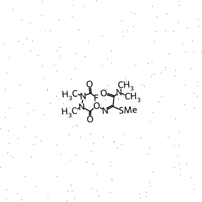 CSC(=NOC(=O)N(C)N(C)C(=O)F)C(=O)N(C)C